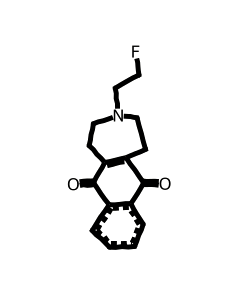 O=C1C2=C(CCN(CCF)CC2)C(=O)c2ccccc21